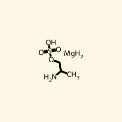 CC(N)COS(=O)(=O)O.[MgH2]